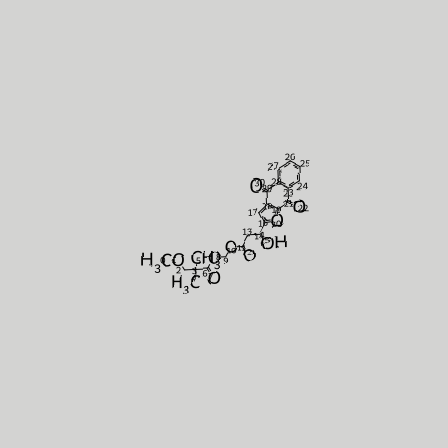 COCC(C)(C)C(=O)OCOC(=O)CC(O)c1cc2c(o1)C(=O)c1ccccc1C2=O